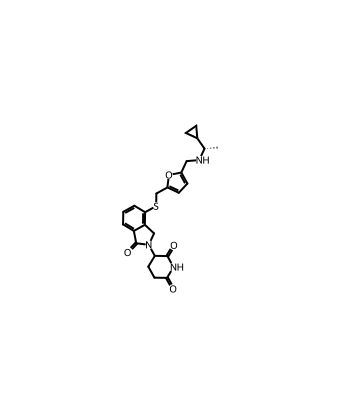 C[C@H](NCc1ccc(CSc2cccc3c2CN(C2CCC(=O)NC2=O)C3=O)o1)C1CC1